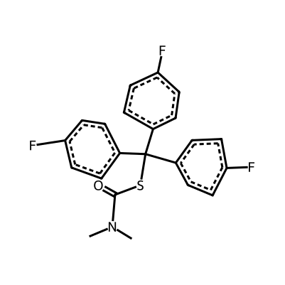 CN(C)C(=O)SC(c1ccc(F)cc1)(c1ccc(F)cc1)c1ccc(F)cc1